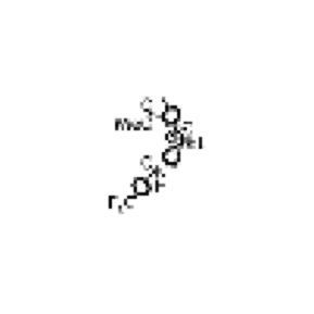 CCN(c1ccc(NC(=O)c2ccc(C(F)(F)F)cc2)cc1)S(=O)(=O)c1ccc(C)c(C(=O)OC)c1